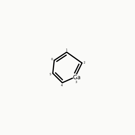 C1=C[CH]=[Ga][CH]=C1